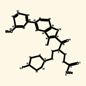 CNC(=O)CCN(CCN1CCC(F)CC1)C(=O)c1sc2ccc(-c3cncc(OC)c3)cc2c1C